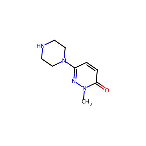 Cn1nc(N2CCNCC2)ccc1=O